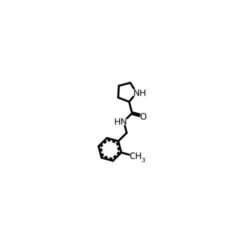 Cc1ccccc1CNC(=O)C1CCCN1